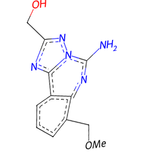 COCc1cccc2c1nc(N)n1nc(CO)nc21